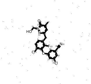 Cc1cc(Cc2ccc(Cl)c(Oc3cc(Cl)cc(C#N)c3)c2F)nn(CO)c1=O